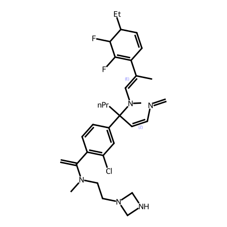 C=N/C=C\C(CCC)(c1ccc(C(=C)N(C)CCN2CNC2)c(Cl)c1)N(C)/C=C(\C)C1=C(F)C(F)C(CC)C=C1